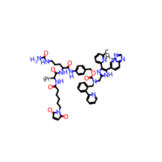 Cc1cccc(-c2nc(CN(Cc3ccccc3-c3ccccn3)C(=O)OCc3ccc(NC(=O)C(CCCNC(N)=O)NC(=O)C(NC(=O)CCCCCN4C(=O)C=CC4=O)C(C)C)cc3)[nH]c2-c2ccc3ncnn3c2)n1